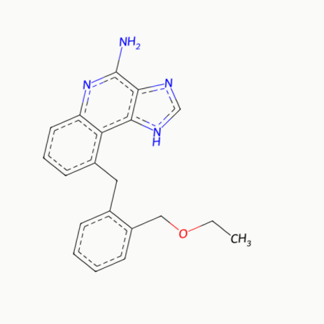 CCOCc1ccccc1Cc1cccc2nc(N)c3nc[nH]c3c12